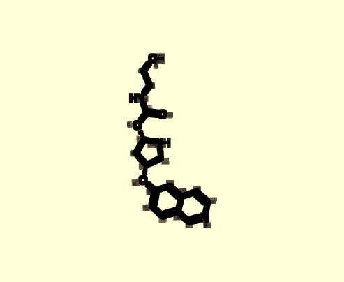 O=C(NCCO)O[C@H]1C[C@@H](Oc2ccc3cnccc3c2)CN1